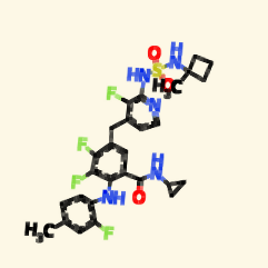 Cc1ccc(Nc2c(C(=O)NC3CC3)cc(Cc3ccnc(NS(=O)(=O)NC4(C)CCC4)c3F)c(F)c2F)c(F)c1